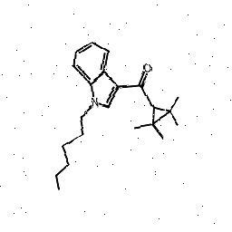 CCCCCCn1cc(C(=O)C2C(C)(C)C2(C)C)c2ccccc21